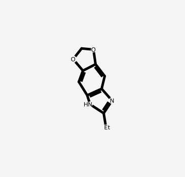 CCc1nc2cc3c(cc2[nH]1)OCO3